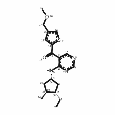 CC[C@H]1C[C@@H](Nc2ncncc2C(=O)c2cc(COC)cs2)C[C@@H]1C